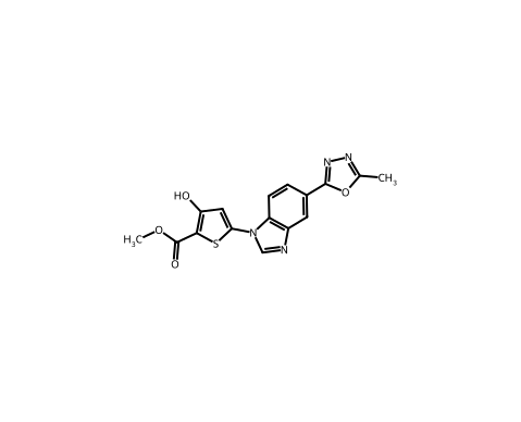 COC(=O)c1sc(-n2cnc3cc(-c4nnc(C)o4)ccc32)cc1O